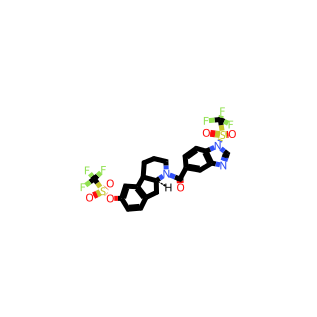 O=C(c1ccc2c(c1)ncn2S(=O)(=O)C(F)(F)F)N1CCCC2c3cc(OS(=O)(=O)C(F)(F)F)ccc3C[C@@H]21